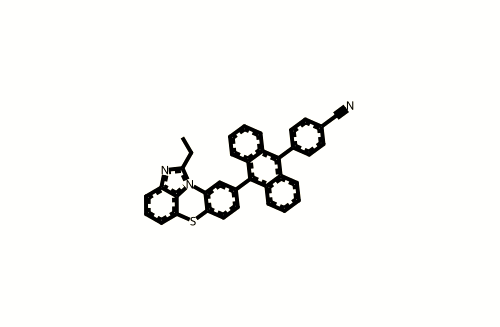 CCc1nc2cccc3c2n1-c1cc(-c2c4ccccc4c(-c4ccc(C#N)cc4)c4ccccc24)ccc1S3